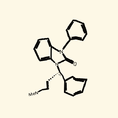 CNCC[C@@H](c1ccccc1)n1c(=O)n(-c2ccccc2)c2ccccc21